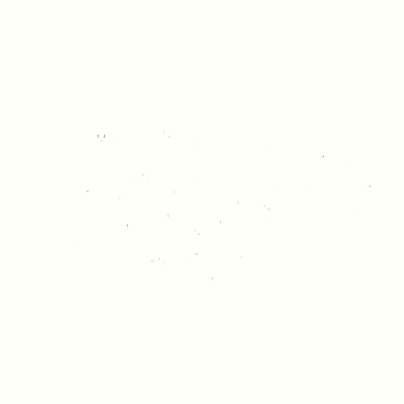 CSc1nccc(-c2c(-c3ccc(F)cc3)nc3n2C(CNC(=O)c2ccccc2)CC3)n1